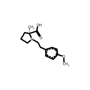 COc1ccc(CCN2CCC[C@@]2(C)C(=O)O)cc1